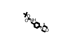 C[C@H]1COCCN1c1ccc(CNC(=O)OC(C)(C)C)cc1